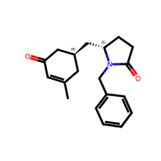 CC1=CC(=O)C[C@@H](C[C@@H]2CCC(=O)N2Cc2ccccc2)C1